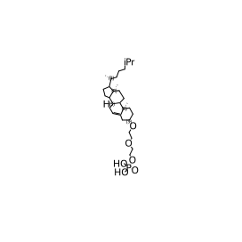 CC(C)CCC[C@@H](C)C1CCC2[C@@H]3CC=C4C[C@@H](OCCOCCOP(=O)(O)O)CC[C@]4(C)C3CC[C@@]21C